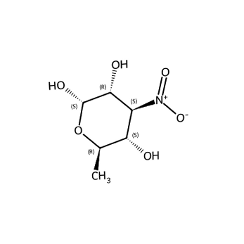 C[C@H]1O[C@H](O)[C@H](O)[C@@H]([N+](=O)[O-])[C@@H]1O